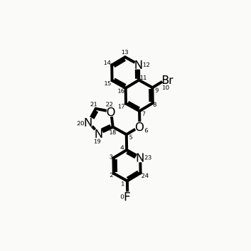 Fc1ccc(C(Oc2cc(Br)c3ncccc3c2)c2nnco2)nc1